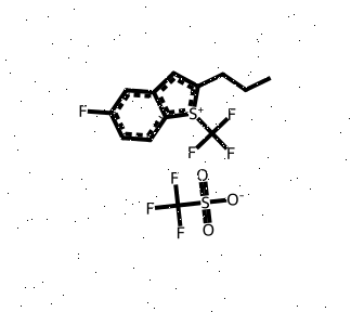 CCCc1cc2cc(F)ccc2[s+]1C(F)(F)F.O=S(=O)([O-])C(F)(F)F